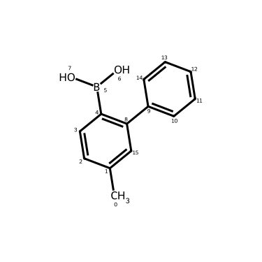 Cc1ccc(B(O)O)c(-c2ccccc2)c1